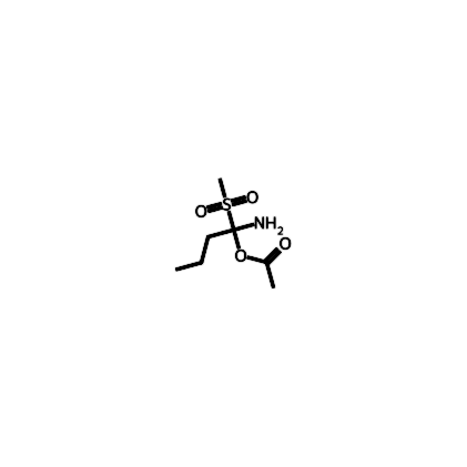 CCCC(N)(OC(C)=O)S(C)(=O)=O